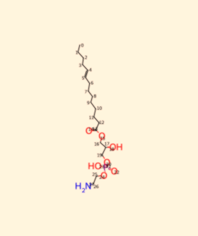 CCCC/C=C/CCCCCCCC(=O)OC[C@@H](O)COP(=O)(O)OCCN